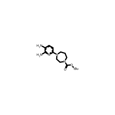 CC(C)(C)OC(=O)N1CCCN(c2ccc(N)c(N)n2)CC1